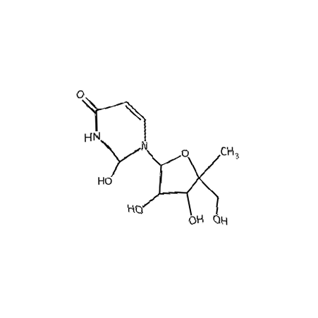 CC1(CO)OC(N2C=CC(=O)NC2O)C(O)C1O